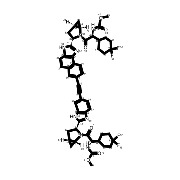 COC(=O)N[C@H](C(=O)N1[C@@H]2C[C@@H]2C[C@H]1c1nc2ccc(C#Cc3ccc4c(ccc5[nH]c([C@@H]6C[C@H]7C[C@H]7N6C(=O)[C@@H](NC(=O)OC)C6CCC(F)(F)CC6)nc54)c3)cc2[nH]1)C1CCC(F)(F)CC1